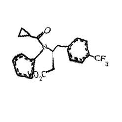 O=C(O)C[C@H](Cc1ccc(C(F)(F)F)cc1)N(C(=O)C1CC1)c1ccccc1